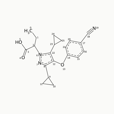 CCC(C(=O)O)n1nc(C2CC2)c(Oc2ccc(C#N)cc2)c1C1CC1